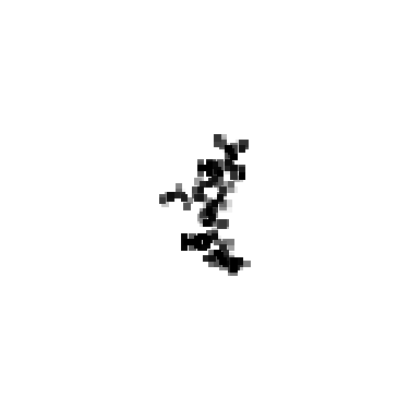 C=CCc1cc(NC(=O)N(C)C)ccc1OCC(O)CNC(C)C